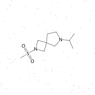 CC(C)N1CCC2(C1)CN(S(C)(=O)=O)C2